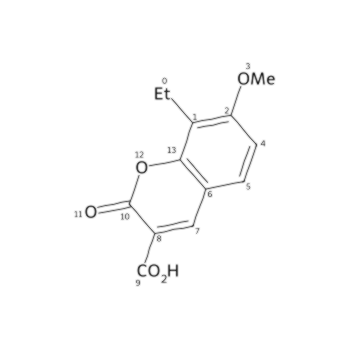 CCc1c(OC)ccc2cc(C(=O)O)c(=O)oc12